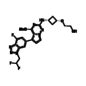 COc1nc(N[C@H]2C[C@@H](OCCO)C2)nn2ccc(-c3cc(F)c4nnn(CC(F)F)c4c3)c12